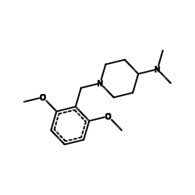 COc1cccc(OC)c1CN1CCC(N(C)C)CC1